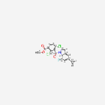 CC(C)(C)OC(=O)c1ccc(Cl)c(C(=O)n2ccc3cc(C4CC4)cc(F)c32)c1Cl